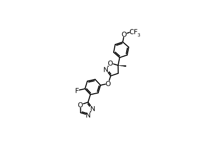 C[C@@]1(c2ccc(OC(F)(F)F)cc2)CC(Oc2ccc(F)c(-c3nnco3)c2)=NO1